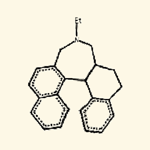 CCN1Cc2ccc3ccccc3c2C2c3ccccc3CCC2C1